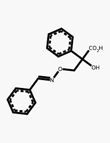 O=C(O)C(O)(CO/N=C/c1ccccc1)c1ccccc1